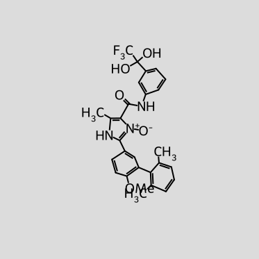 COc1ccc(-c2[nH]c(C)c(C(=O)Nc3cccc(C(O)(O)C(F)(F)F)c3)[n+]2[O-])cc1-c1c(C)cccc1C